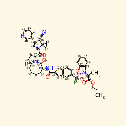 CCCOC(=O)[C@H](C)NP(=O)(Oc1ccccc1)[C@@H](F)c1ccc2sc(C(=O)N[C@H]3CCCC[C@H]4CC[C@@H](C(=O)N5C[C@H](c6cccnc6)[C@@H](C#N)C56CC6)N4C3=O)cc2c1